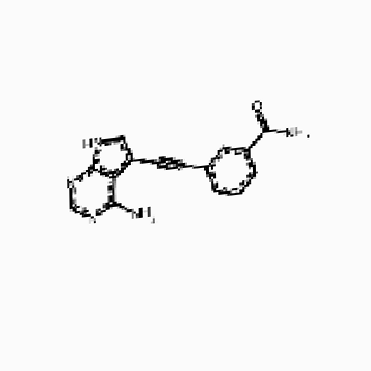 NC(=O)c1cccc(C#Cc2c[nH]c3ncnc(N)c23)c1